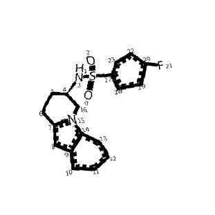 O=S(=O)(N[C@@H]1CCc2cc3ccccc3n2C1)c1ccc(F)cc1